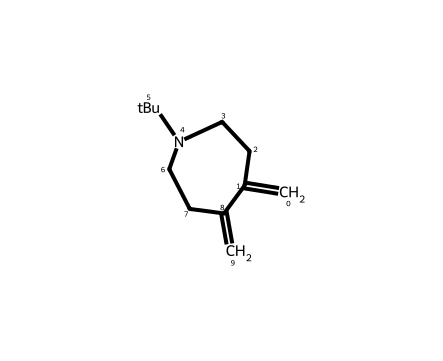 C=C1CCN(C(C)(C)C)CCC1=C